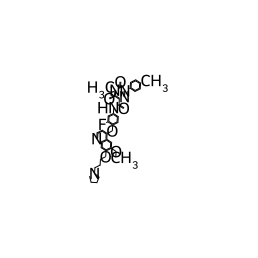 COc1cc2c(Oc3ccc(NC(=O)c4nn(-c5ccc(C)cc5)c(=O)n(C)c4=O)cc3F)ccnc2cc1OCCCN1CCCC1